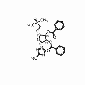 CP(C)(=O)CO[C@H]1O[C@@H](n2cnc(C#N)n2)[C@H](OC(=O)c2ccccc2)[C@@H]1OC(=O)c1ccccc1